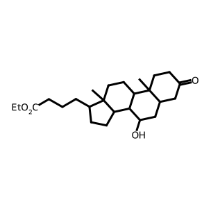 CCOC(=O)CCCC1CCC2C3C(O)CC4CC(=O)CCC4(C)C3CCC12C